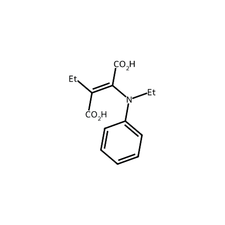 CCC(C(=O)O)=C(C(=O)O)N(CC)c1ccccc1